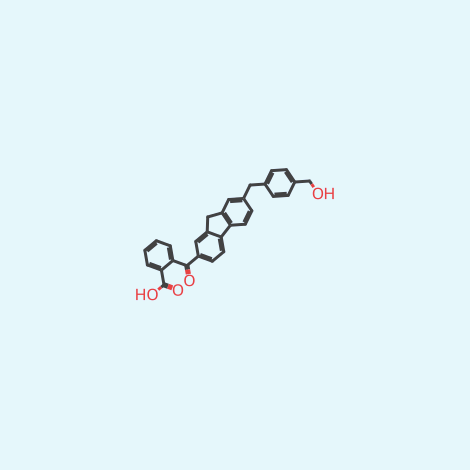 O=C(O)c1ccccc1C(=O)c1ccc2c(c1)Cc1cc(Cc3ccc(CO)cc3)ccc1-2